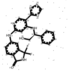 O=C1NC(F)(F)c2cc(Nc3cc(N[C@H](CO)c4ccccc4)c(-c4nnco4)cn3)ccc21